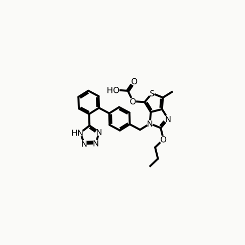 CCCOc1nc2c(C)sc(OC(=O)O)c2n1Cc1ccc(-c2ccccc2-c2nnn[nH]2)cc1